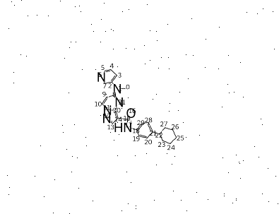 CN(c1cccnc1)c1ccn2ncc(C(=O)Nc3ccc(C4CCCCC4)cc3)c2n1